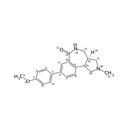 COc1ccc(-c2ccc3c(c2)C(=O)NC[C@H]2CN(C)CC32)cc1